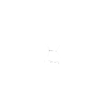 CC(=O)C(C)O.NN